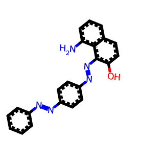 Nc1cccc2ccc(O)c(N=Nc3ccc(N=Nc4ccccc4)cc3)c12